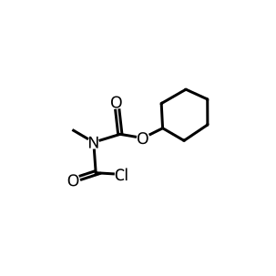 CN(C(=O)Cl)C(=O)OC1CCCCC1